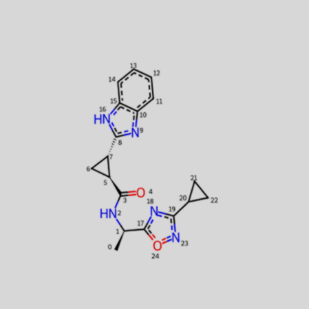 C[C@@H](NC(=O)[C@H]1C[C@@H]1c1nc2ccccc2[nH]1)c1nc(C2CC2)no1